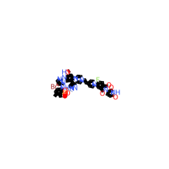 COc1cc(N2CCN(CCC3CCN(c4cc5c(cc4F)C(=O)N(C4CCC(=O)NC4=O)C5=O)CC3)CC2)c(-c2cnn(C)c2)cc1Nc1ncc(Br)c(Nc2ccc(C)c(C)c2P(=O)(OC)OC)n1